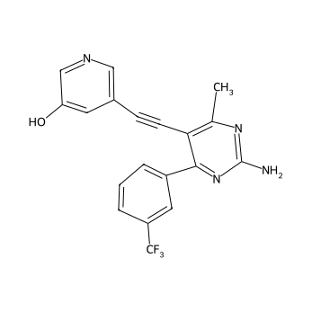 Cc1nc(N)nc(-c2cccc(C(F)(F)F)c2)c1C#Cc1cncc(O)c1